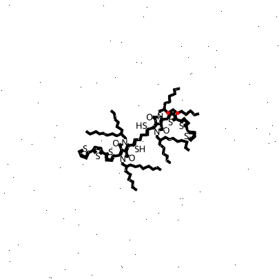 CCCCCCCCC(CCCCCC)CN1C(=O)C2=C(c3ccc(-c4ccc(-c5cccs5)s4)s3)N(CC(CCCCCC)CCCCCCCC)C(=O)C2=C1/C(S)=C/CC/C=C(\S)C1=C2C(=O)N(CC(CCCCCC)CCCCCCCC)C(c3ccc(-c4ccc(-c5cccs5)s4)s3)=C2C(=O)N1CC(CCCCCC)CCCCCCCC